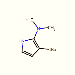 CN(C)c1[nH]ccc1C(C)(C)C